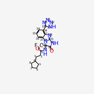 O=C(CCC1CCCC1)NC1(C(F)(F)F)C(=O)Nc2nc3c(-c4nnn[nH]4)cccc3n21